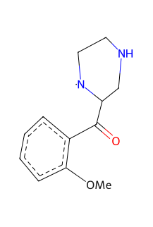 COc1ccccc1C(=O)C1CNCC[N]1